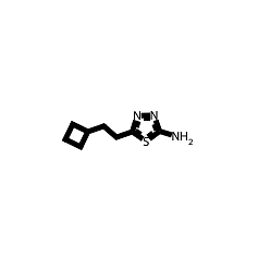 Nc1nnc(CCC2CCC2)s1